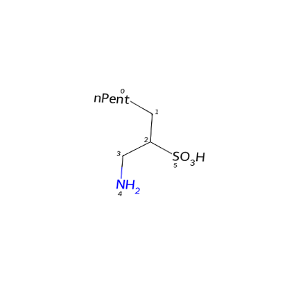 CCCCCCC(CN)S(=O)(=O)O